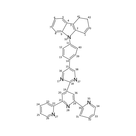 C1=Cc2c(c3ccccc3n2-c2ccc(-c3cnc(-c4cc(-c5ccccn5)nc(-c5ccccn5)c4)nc3)cc2)CC1